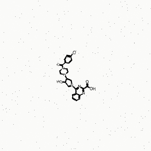 O=C(O)c1nc(N2CC(O)C(N3CCN(C(=O)c4ccc(Cl)cc4)CC3)C2)c2ccccc2n1